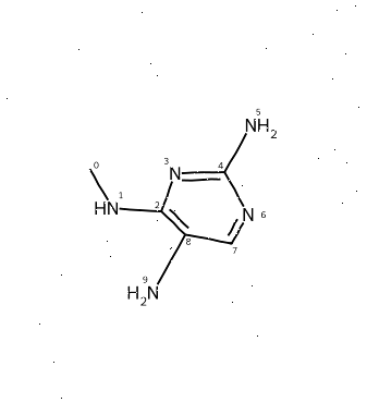 CNc1nc(N)ncc1N